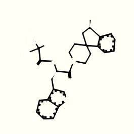 CC(C)(N)C(=O)N[C@H](Cc1c[nH]c2ccccc12)C(=O)N1CCC2(CC1)C[C@@H](O)c1ccccc12.Cl